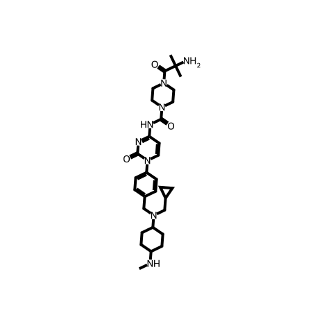 CNC1CCC(N(Cc2ccc(-n3ccc(NC(=O)N4CCN(C(=O)C(C)(C)N)CC4)nc3=O)cc2)CC2CC2)CC1